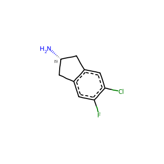 N[C@H]1Cc2cc(F)c(Cl)cc2C1